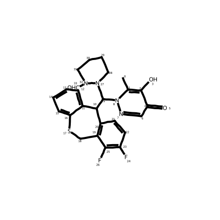 Cc1c(O)c(=O)cnn1C(C1c2ccccc2SCc2c1ccc(F)c2F)N1CCCCN1C=O